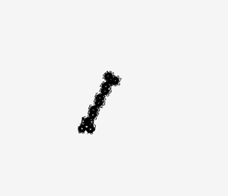 c1ccc2c(c1)c1ccccc1c1nc(-c3ccc4cc(-c5ccc6cc(-c7ccc8cc(-n9c%10ccccc%10c%10ccccc%109)ccc8c7)ccc6c5)ccc4c3)cnc21